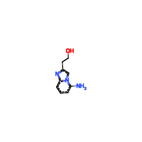 Nc1cccc2nc(CCO)cn12